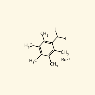 Cc1c(C)c(C)c(C(I)I)c(C)c1C.[Ru+2]